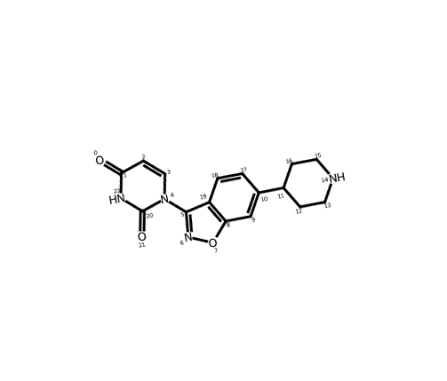 O=c1ccn(-c2noc3cc(C4CCNCC4)ccc23)c(=O)[nH]1